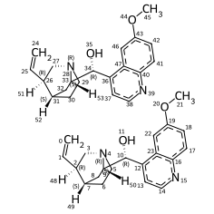 C=C[C@H]1C[N@]2CC[C@H]1C[C@H]2[C@H](O)c1ccnc2ccc(OC)cc12.C=C[C@H]1C[N@]2CC[C@H]1C[C@H]2[C@H](O)c1ccnc2ccc(OC)cc12